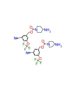 N#Cc1cc(COC(=O)N2CCC(N)CC2)cc(OC(F)(F)F)c1.N#Cc1cc(COC(=O)N2CCC(N)CC2)cc(OC(F)(F)F)c1